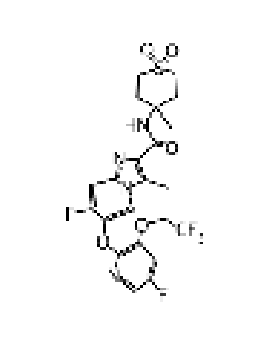 Cc1c(C(=O)NC2(C)CCS(=O)(=O)CC2)nc2cc(F)c(Oc3ncc(F)cc3OCC(F)(F)F)cn12